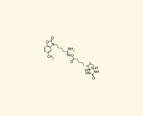 Cc1ccc2oc(=O)n(CCCC/C(N)=N/OC(=O)CCCC[C@@H]3SC[C@@H]4NC(=O)N[C@@H]43)c2c1